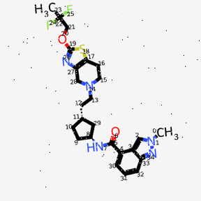 Cn1cc2c(C(=O)N[C@@H]3CC[C@H](CCN4CCc5sc(OCC(C)(F)F)nc5C4)C3)cccc2n1